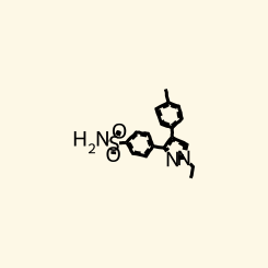 CCn1cc(-c2ccc(C)cc2)c(-c2ccc(S(N)(=O)=O)cc2)n1